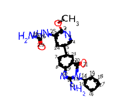 COc1ncc(-c2ccc3nc(N)n(-c4ccccc4)c(=O)c3c2)cc1NC(N)=O